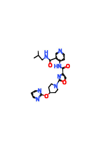 CC(C)CNC(=O)c1cnccc1NC(=O)c1coc(N2CCC(Oc3ncccn3)CC2)n1